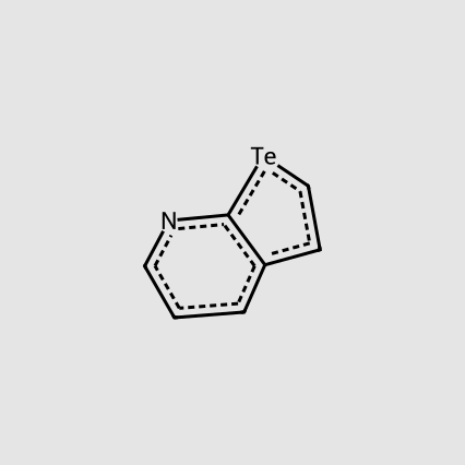 c1cnc2[te]ccc2c1